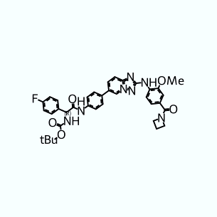 COc1cc(C(=O)N2CCC2)ccc1Nc1nc2ccc(-c3ccc(NC(=O)[C@H](NC(=O)OC(C)(C)C)c4ccc(F)cc4)cc3)cn2n1